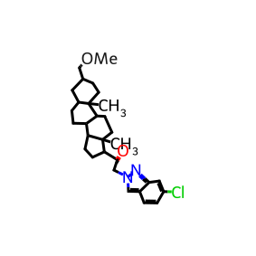 COCC1CCC2(C)C(CCC3C2CCC2(C)C(C(=O)Cn4cc5ccc(Cl)cc5n4)CCC32)C1